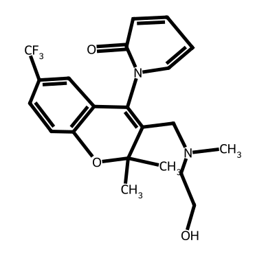 CN(CCO)CC1=C(n2ccccc2=O)c2cc(C(F)(F)F)ccc2OC1(C)C